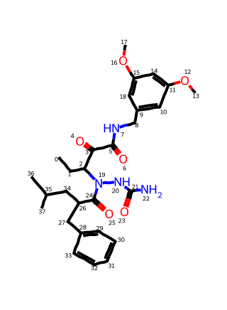 CCC(C(=O)C(=O)NCc1cc(OC)cc(OC)c1)N(NC(N)=O)C(=O)C(Cc1ccccc1)CC(C)C